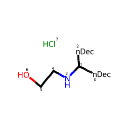 CCCCCCCCCCC(CCCCCCCCCC)NCCO.Cl